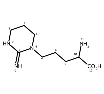 N=C1NCCCN1CCCC(N)C(=O)O